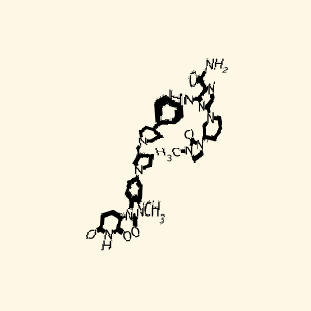 CN1CCN([C@@H]2CCCN(c3cnc(C(N)=O)c(Nc4ccc(C5CCN(C[C@H]6CCN(c7ccc8c(c7)n(C)c(=O)n8[C@@H]7CCC(=O)NC7=O)C6)CC5)cc4)n3)C2)C1=O